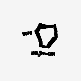 O=S(=O)(O)O.[KH].c1ccccc1